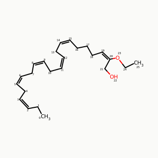 CC/C=C\C/C=C\C/C=C\C/C=C\C/C=C\CCC/C=C(\CO)OCC